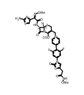 CO/N=C(\C(=O)N[C@@H]1C(=O)N2C(C(=O)[O-])=C(C[n+]3ccc(-c4c(F)cc(-n5cc(CC(=O)NOC)oc5=O)cc4F)cc3)CS[C@@H]12)c1csc(N)n1